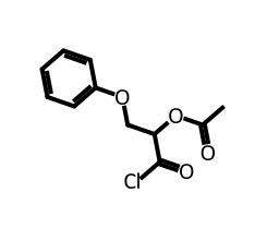 CC(=O)OC(COc1ccccc1)C(=O)Cl